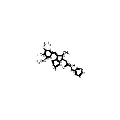 COc1cc(/C=C2\c3ccc(F)cc3C(CC(=O)NCc3cccnc3)C2C)cc(OC)c1O